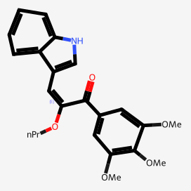 CCCO/C(=C/c1c[nH]c2ccccc12)C(=O)c1cc(OC)c(OC)c(OC)c1